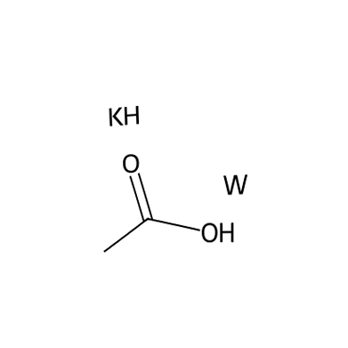 CC(=O)O.[KH].[W]